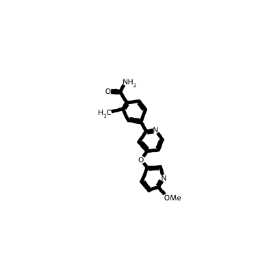 COc1ccc(Oc2ccnc(-c3ccc(C(N)=O)c(C)c3)c2)cn1